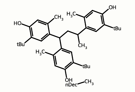 CCCCCCCCCCC.Cc1cc(O)c(C(C)(C)C)cc1C(C)CC(c1cc(C(C)(C)C)c(O)cc1C)c1cc(C(C)(C)C)c(O)cc1C